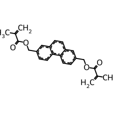 C=C(C)C(=O)OCc1ccc2c(ccc3cc(COC(=O)C(=C)C)ccc32)c1